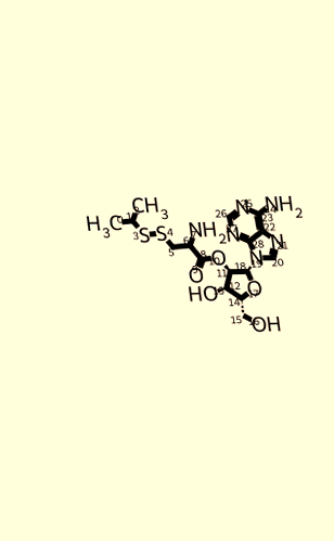 CC(C)SSCC(N)C(=O)O[C@@H]1[C@H](O)[C@@H](CO)O[C@H]1n1cnc2c(N)ncnc21